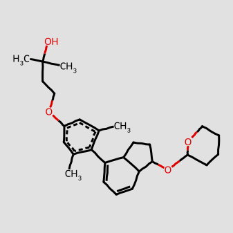 Cc1cc(OCCC(C)(C)O)cc(C)c1C1=CC=CC2C(OC3CCCCO3)CCC12